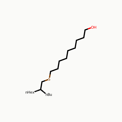 CCCCCCC(CCCC)CSCCCCCCCCCO